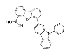 OB(O)c1cccc2c1oc1c(-c3ccc4c5ccccc5n(-c5ccccc5)c4c3)cccc12